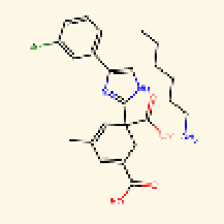 CC1=CC(C(=O)O)(c2nc(-c3cccc(Br)c3)c[nH]2)CC(C(=O)O)=C1.CCCCCCN